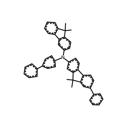 CC1(C)c2ccccc2-c2cc(N(c3ccc(-c4ccccc4)cc3)c3ccc4c(c3)C(C)(C)c3cc(-c5ccccc5)ccc3-4)ccc21